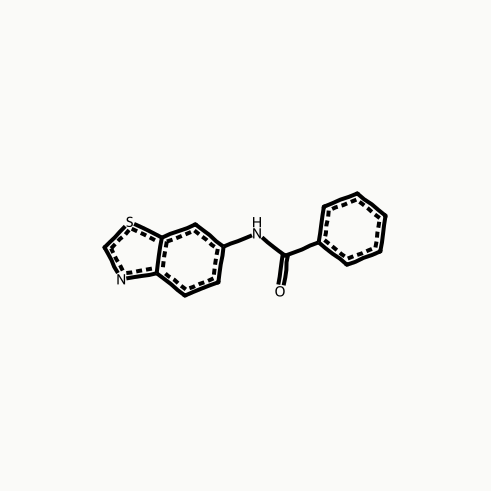 O=C(Nc1ccc2ncsc2c1)c1ccccc1